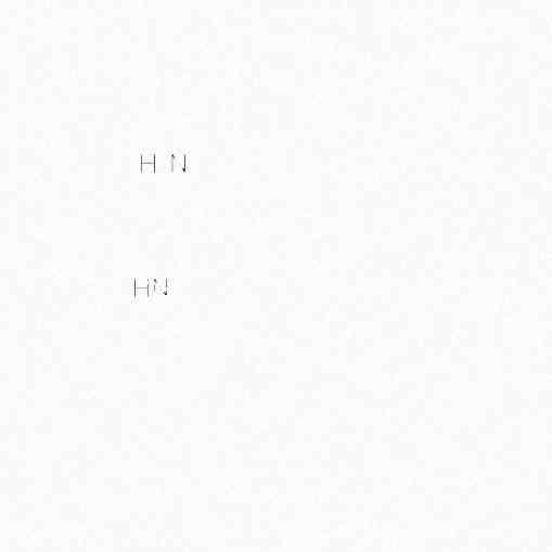 C=C1C=c2ccccc2=C(N)N1